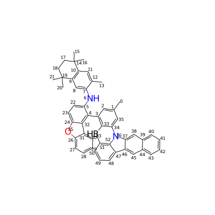 Cc1cc(-c2c(Nc3cc4c(cc3C)C(C)(C)CCC4(C)C)ccc3oc4ccccc4c23)c2c(c1)-n1c3cc4ccccc4cc3c3cccc(c31)B2